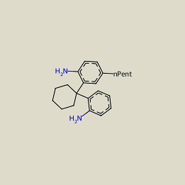 CCCCCc1ccc(N)c(C2(c3ccccc3N)CCCCC2)c1